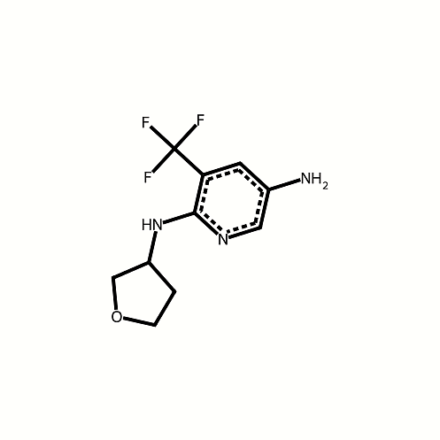 Nc1cnc(NC2CCOC2)c(C(F)(F)F)c1